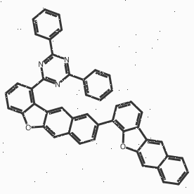 c1ccc(-c2nc(-c3ccccc3)nc(-c3cccc4oc5cc6ccc(-c7cccc8c7oc7cc9ccccc9cc78)cc6cc5c34)n2)cc1